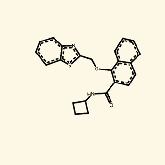 O=C(NC1CCC1)c1ccc2ccccc2c1OCc1nc2ccccc2s1